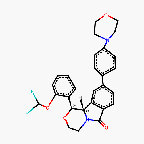 O=C1c2ccc(-c3ccc(N4CCOCC4)cc3)cc2[C@H]2[C@H](c3ccccc3OC(F)F)OCCN12